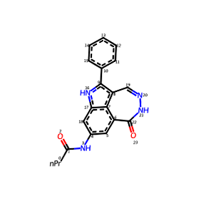 CCCC(=O)Nc1cc2c3c(c(-c4ccccc4)[nH]c3c1)C=NNC2=O